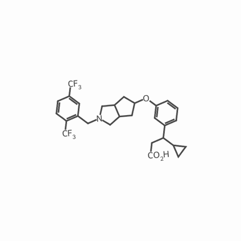 O=C(O)CC(c1cccc(OC2CC3CN(Cc4cc(C(F)(F)F)ccc4C(F)(F)F)CC3C2)c1)C1CC1